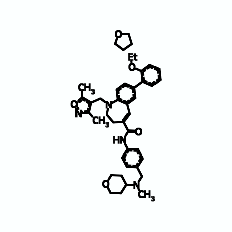 C1CCOC1.CCOc1ccccc1-c1ccc2c(c1)C=C(C(=O)Nc1ccc(CN(C)C3CCOCC3)cc1)CCN2Cc1c(C)noc1C